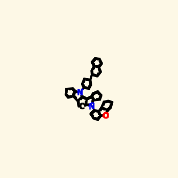 c1ccc2cc(-c3ccc(-n4c5ccccc5c5ccc6c(c7ccccc7n6-c6cccc7oc8ccccc8c67)c54)cc3)ccc2c1